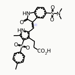 Cc1ccc(S(=O)(=O)c2c(C)[nH]c(/C=C3\C(=O)Nc4ccc(S(=O)(=O)N(C)C)cc43)c2CCC(=O)O)cc1